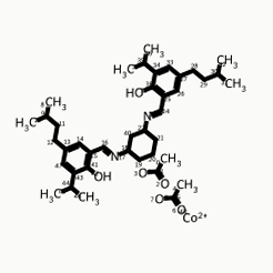 CC(=O)[O-].CC(=O)[O-].CC(C)CCc1cc(C=NC2CCCC(N=Cc3cc(CCC(C)C)cc(C(C)C)c3O)C2)c(O)c(C(C)C)c1.[Co+2]